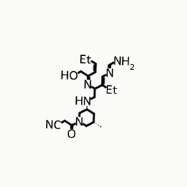 CC/C=C\C(CO)=N/C(CN[C@@H]1C[C@H](C)CN(C(=O)CC#N)C1)/C(=C/N=C/N)CC